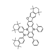 Cc1ccccc1N1c2cc3c(cc2B2c4cc5c(cc4N(c4ccc6c(c4)C(C)(C)CCC6(C)C)c4cc(-c6ccccc6)cc1c42)C(C)(C)CCC5(C)C)oc1cc2c(cc13)C(C)(C)CCC2(C)C